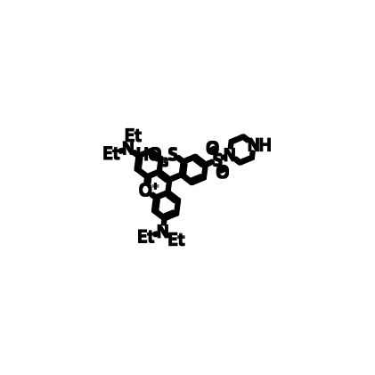 CCN(CC)c1ccc2c(-c3ccc(S(=O)(=O)N4CCNCC4)cc3S(=O)(=O)O)c3ccc(N(CC)CC)cc3[o+]c2c1